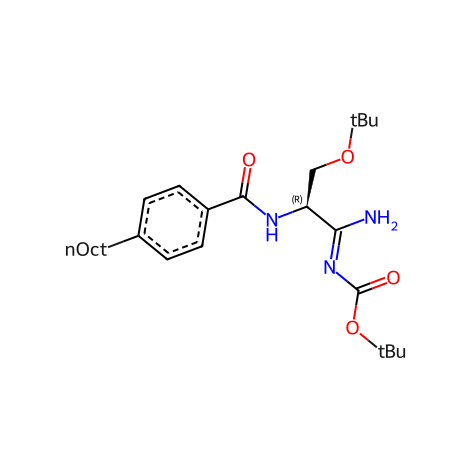 CCCCCCCCc1ccc(C(=O)N[C@@H](COC(C)(C)C)C(N)=NC(=O)OC(C)(C)C)cc1